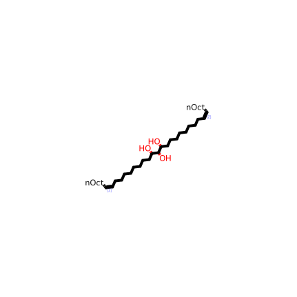 CCCCCCCC/C=C\CCCCCCCCC(O)C(O)C(O)CCCCCCCC/C=C\CCCCCCCC